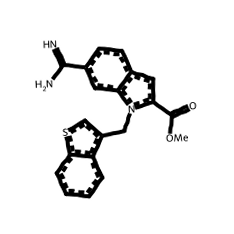 COC(=O)c1cc2ccc(C(=N)N)cc2n1Cc1csc2ccccc12